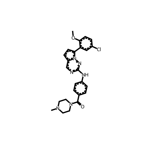 COc1ccc(Cl)cc1-c1ccc2cnc(Nc3ccc(C(=O)N4CCN(C)CC4)cc3)nn12